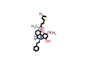 COc1cc(O)c2c3c1O[C@H]1[C@H](N(C)C(=O)/C=C/c4cc(Br)cs4)CC[C@H]4[C@@H](C2)N(CCc2ccccc2)CC[C@@]341